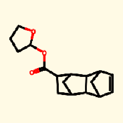 O=C(OC1CCCO1)C1CC2CC1C1C3C=CC(C3)C21